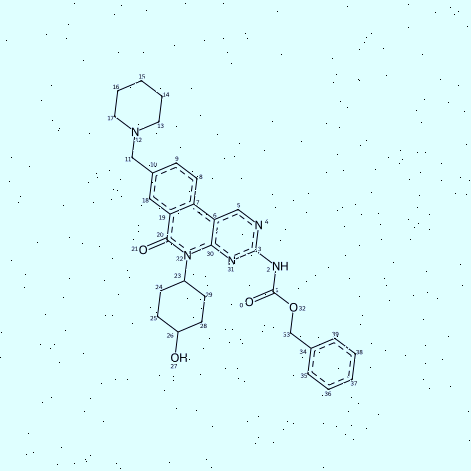 O=C(Nc1ncc2c3ccc(CN4CCCCC4)cc3c(=O)n(C3CCC(O)CC3)c2n1)OCc1ccccc1